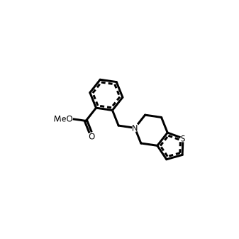 COC(=O)c1ccccc1CN1CCc2sccc2C1